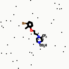 Cc1c(Br)cccc1OCCCN1CCN(C(=O)O)C[C@@H]1C(F)(F)F